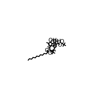 CCCCCCCCCCCC(=O)O[C@@]12C[C@@H](C)C34C=C(C)C(O)C3(O)C(O)C(COC(=O)C(C)(C)C)=CC(C4=O)[C@]1(C)C2(C)C